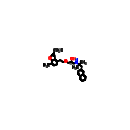 Cc1ccc(CCOC[C@@H](O)CNC(C)(C)Cc2ccc3ccccc3c2)c2c1OC1C(C(=O)O)C21